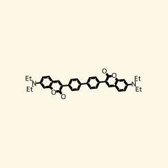 CCN(CC)c1ccc2cc(-c3ccc(-c4ccc(-c5cc6ccc(N(CC)CC)cc6oc5=O)cc4)cc3)c(=O)oc2c1